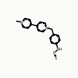 C[n+]1ccc(-c2cc[n+](Cc3ccc(BP=S)cc3)cc2)cc1